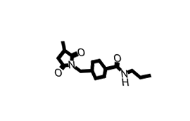 CCCNC(=O)C1CCC(CN2C(=O)CC(C)C2=O)CC1